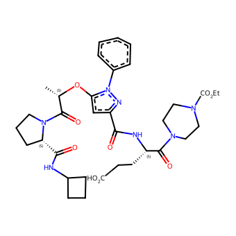 CCOC(=O)N1CCN(C(=O)[C@H](CCC(=O)O)NC(=O)c2cc(O[C@@H](C)C(=O)N3CCC[C@H]3C(=O)NC3CCC3)n(-c3ccccc3)n2)CC1